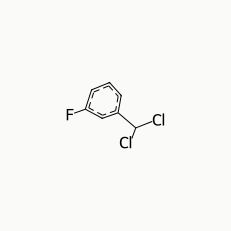 Fc1cccc(C(Cl)Cl)c1